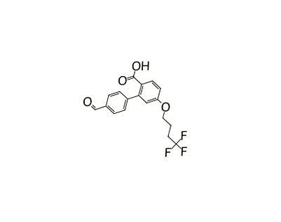 O=Cc1ccc(-c2cc(OCCCC(F)(F)F)ccc2C(=O)O)cc1